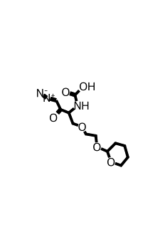 [N-]=[N+]=CC(=O)C(COCCOC1CCCCO1)NC(=O)O